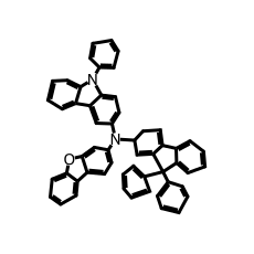 C1=C2C(=CC(N(c3ccc4c(c3)oc3ccccc34)c3ccc4c(c3)c3ccccc3n4-c3ccccc3)C1)C(c1ccccc1)(c1ccccc1)c1ccccc12